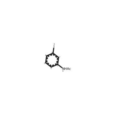 [CH2]C(=O)Nc1cccc(I)c1